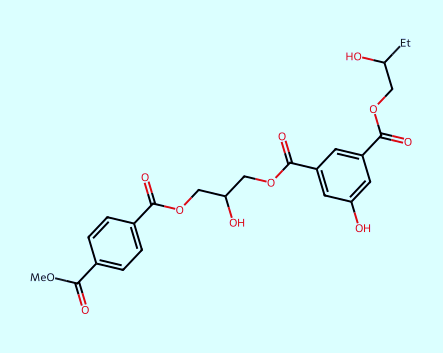 CCC(O)COC(=O)c1cc(O)cc(C(=O)OCC(O)COC(=O)c2ccc(C(=O)OC)cc2)c1